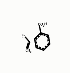 C=CCC.O=C(O)c1ccccc1